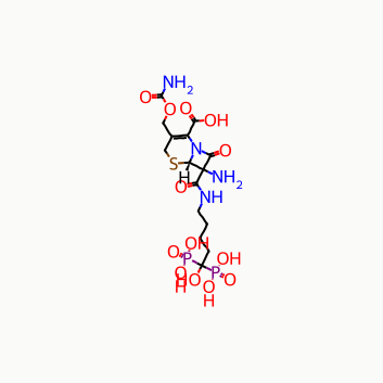 NC(=O)OCC1=C(C(=O)O)N2C(=O)C(N)(C(=O)NCCCCC(O)(P(=O)(O)O)P(=O)(O)O)[C@@H]2SC1